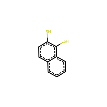 Sc1ccc2ccccc2c1S